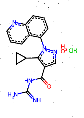 Cl.N=C(N)NC(=O)c1cnn(-c2cccc3ncccc23)c1C1CC1.O